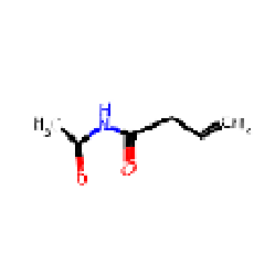 C=CCC(=O)NC(C)=O